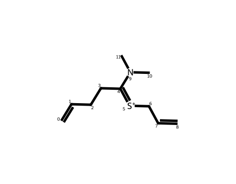 C=CCCC(=[S+]CC=C)N(C)C